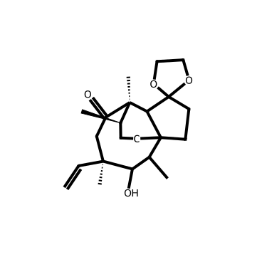 C=C[C@@]1(C)CC(=O)[C@@]2(C)C3C4(CCC3(CC[C@H]2C)C(C)C1O)OCCO4